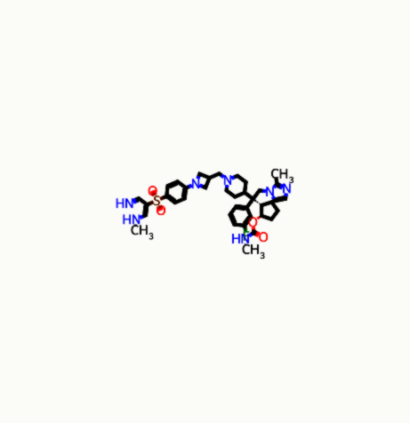 CN/C=C(\C=N)S(=O)(=O)c1ccc(N2CC(CN3CCC(C(Cn4ccnc4C)(c4cccc(F)c4)[C@@H]4CCC[C@H]4OC(=O)NC)CC3)C2)cc1